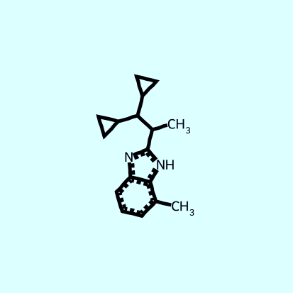 Cc1cccc2nc(C(C)C(C3CC3)C3CC3)[nH]c12